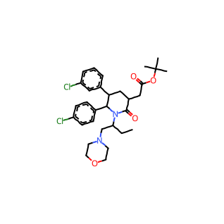 CCC(CN1CCOCC1)N1C(=O)C(CC(=O)OC(C)(C)C)CC(c2cccc(Cl)c2)C1c1ccc(Cl)cc1